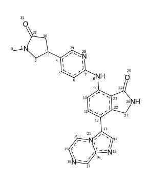 CN1CC(c2ccc(Nc3ccc(-c4cnc5cnccn45)c4c3C(=O)NC4)nc2)CC1=O